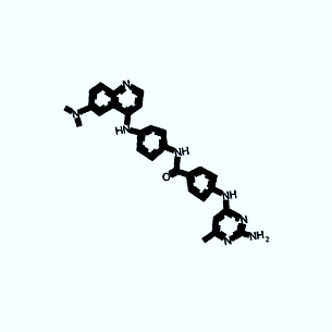 Cc1cc(Nc2ccc(C(=O)Nc3ccc(Nc4ccnc5ccc(N(C)C)cc45)cc3)cc2)nc(N)n1